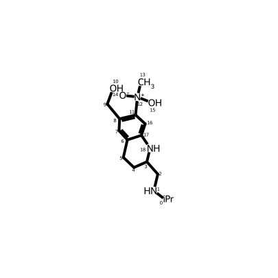 CC(C)NCC1CCc2cc(CO)c([N+](C)([O-])O)cc2N1